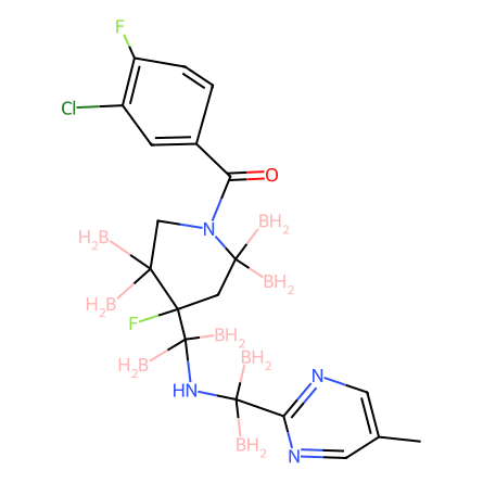 BC(B)(NC(B)(B)C1(F)CC(B)(B)N(C(=O)c2ccc(F)c(Cl)c2)CC1(B)B)c1ncc(C)cn1